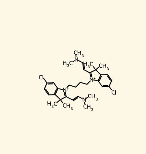 CN(C)C=CC1=[N+](CCCC[N+]2=C(C=CN(C)C)C(C)(C)c3ccc(Cl)cc32)c2cc(Cl)ccc2C1(C)C